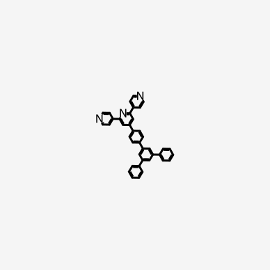 c1ccc(-c2cc(-c3ccccc3)cc(-c3ccc(-c4cc(-c5ccncc5)nc(-c5ccncc5)c4)cc3)c2)cc1